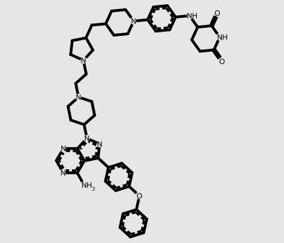 Nc1ncnc2c1c(-c1ccc(Oc3ccccc3)cc1)nn2C1CCN(CCN2CCC(CC3CCN(c4ccc(NC5CCC(=O)NC5=O)cc4)CC3)C2)CC1